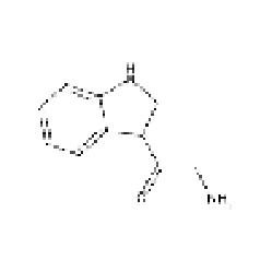 NCC(=O)C1CNc2ccccc21